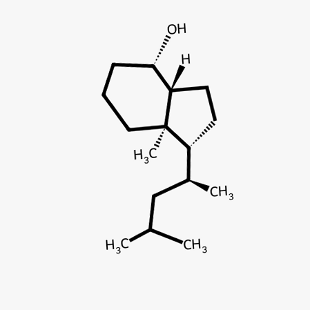 CC(C)C[C@H](C)[C@H]1CC[C@H]2[C@@H](O)CCC[C@]12C